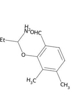 CCC(N)Oc1c(C=O)ccc(C)c1C